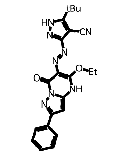 CCOc1[nH]c2cc(-c3ccccc3)nn2c(=O)c1N=Nc1n[nH]c(C(C)(C)C)c1C#N